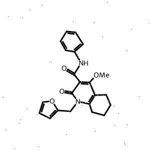 COc1c2c(n(Cc3ccco3)c(=O)c1C(=O)Nc1ccccc1)CCCC2